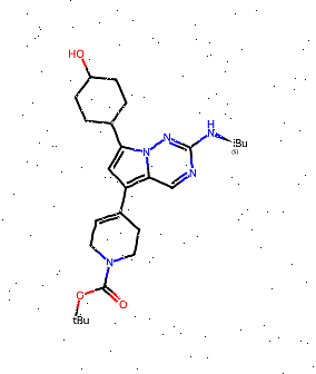 CC[C@H](C)Nc1ncc2c(C3=CCN(C(=O)OC(C)(C)C)CC3)cc(C3CCC(O)CC3)n2n1